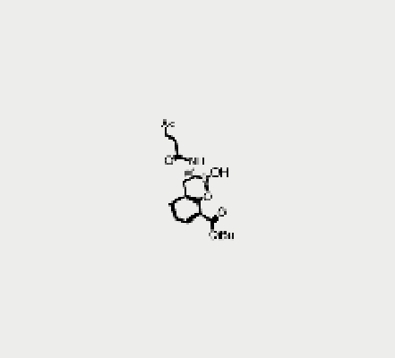 CC(=O)CCC(=O)N[C@H]1Cc2cccc(C(=O)OCC(C)C)c2OB1O